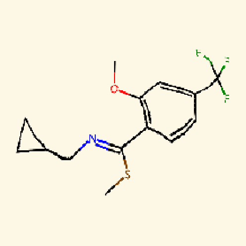 COc1cc(C(F)(F)F)ccc1C(=NCC1CC1)SC